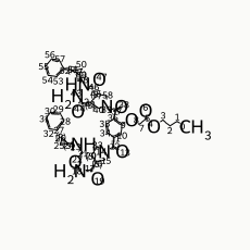 CCCCOC(=O)COc1cc(C(=O)N2C[C@@H](C(N)=O)[C@H](C(=O)N[C@H]3C[C@@H]3c3ccccc3)C2)ccc1C(=O)N1C[C@@H](C(N)=O)[C@H](C(=O)N[C@H]2C[C@@H]2c2ccccc2)C1